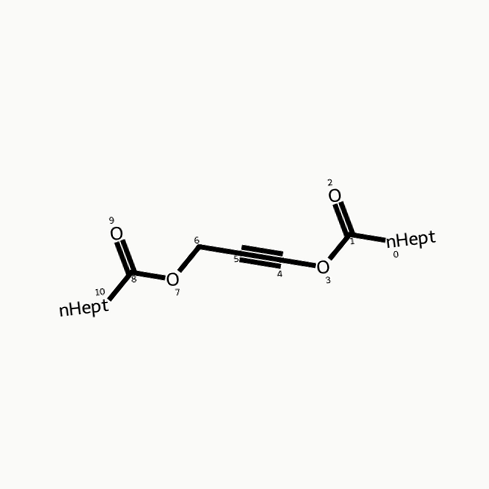 CCCCCCCC(=O)OC#CCOC(=O)CCCCCCC